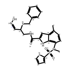 Cc1ccc(N(C)S(=O)(=O)c2cccs2)c2[nH]c(C(=O)NCC(/C=N\O)SCc3ccccc3)cc12